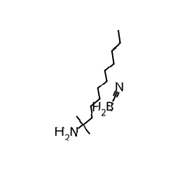 BC#N.CCCCCCCCCCC(C)(C)N